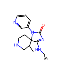 CC(C)CNC1=NC(=O)N(c2cccnc2)C12CCNCC2C